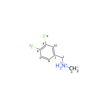 [CH2-][NH2+]Cc1ccc(F)c(F)c1